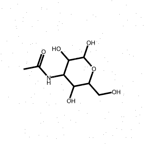 CC(=O)NC1C(O)C(O)OC(CO)C1O